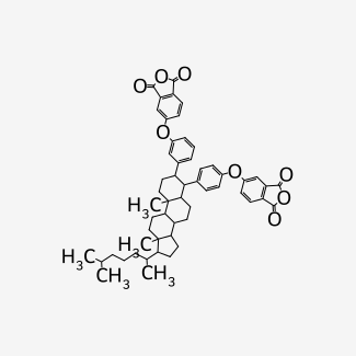 CC(C)CCCC(C)C1CCC2C3CCC4C(c5ccc(Oc6ccc7c(c6)C(=O)OC7=O)cc5)C(c5cccc(Oc6ccc7c(c6)C(=O)OC7=O)c5)CCC4(C)C3CCC12C